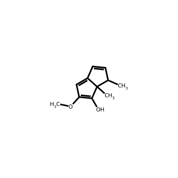 COC1=C(O)C2(C)C(=C1)C=CC2C